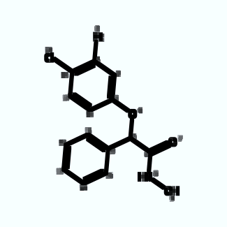 CCc1cc(OC(C(=O)NO)c2ccccc2)ccc1Cl